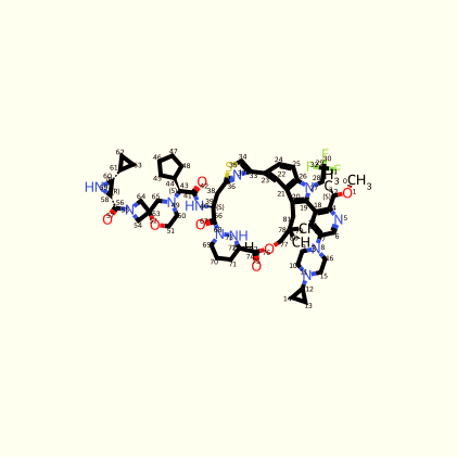 CO[C@@H](C)c1ncc(N2CCN(C3CC3)CC2)cc1-c1c2c3cc(ccc3n1CC(F)(F)F)-c1csc(n1)C[C@H](NC(=O)[C@H](C1CCCC1)N1CCOC3(CN(C(=O)[C@@H]4N[C@@H]4C4CC4)C3)C1)C(=O)N1CCC[C@H](N1)C(=O)OCC(C)(C)C2